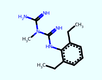 CCc1cccc(CC)c1NC(=N)N(C)C(=N)N